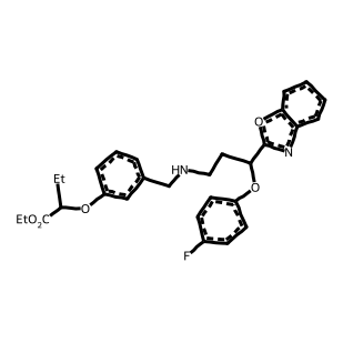 CCOC(=O)C(CC)Oc1cccc(CNCCC(Oc2ccc(F)cc2)c2nc3ccccc3o2)c1